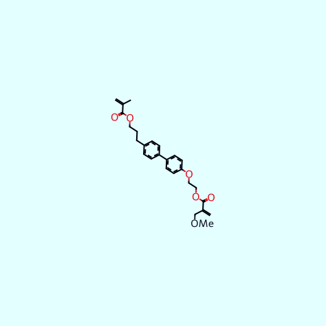 C=C(C)C(=O)OCCCc1ccc(-c2ccc(OCCOC(=O)C(=C)COC)cc2)cc1